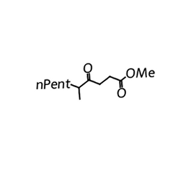 CCCCCC(C)C(=O)CCC(=O)OC